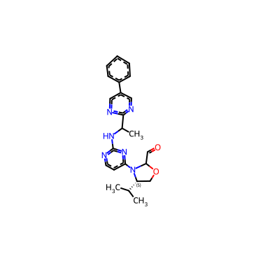 CC(Nc1nccc(N2C(C=O)OC[C@@H]2C(C)C)n1)c1ncc(-c2ccccc2)cn1